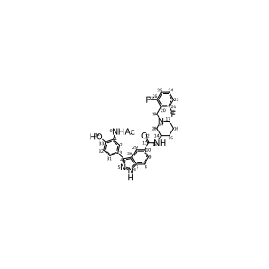 CC(=O)Nc1cc(-c2n[nH]c3ccc(C(=O)N[C@@H]4CCCN(Cc5c(F)cccc5F)C4)cc23)ccc1O